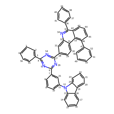 c1ccc(-c2nc(-c3cccc(-n4c5ccccc5c5ccccc54)c3)nc(-c3ccc4c(c3)nc(-c3ccccc3)c3cccc(-c5ccccc5)c34)n2)cc1